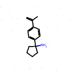 C=C(C)c1ccc(C2(N)CCCC2)cc1